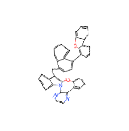 c1ccc2c(c1)Oc1c(Cc3ccc(-c4cccc5c4oc4ccccc45)c4ccccc34)c3ccccc3n1-c1nccnc1-2